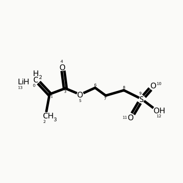 C=C(C)C(=O)OCCCS(=O)(=O)O.[LiH]